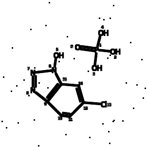 O=P(O)(O)O.On1nnc2ccc(Cl)cc21